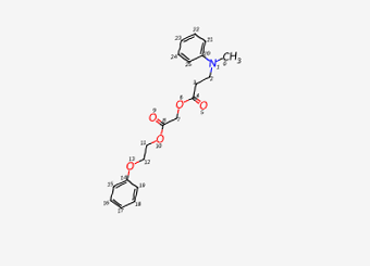 CN(CCC(=O)OCC(=O)OCCOc1ccccc1)c1ccccc1